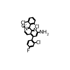 Nc1cc(-c2ccc(F)cc2Cl)c2cc[n+]([O-])c(-c3c(Cl)cccc3Cl)c2n1